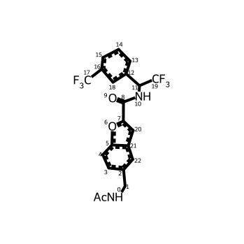 CC(=O)NCc1ccc2oc(C(=O)NC(c3cccc(C(F)(F)F)c3)C(F)(F)F)cc2c1